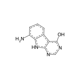 Nc1cccc2c1[nH]c1ncnc(O)c12